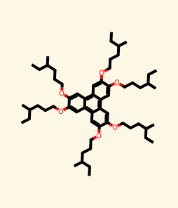 CCC(C)CCCOc1cc2c3cc(OCCCC(C)CC)c(OCCCC(C)CC)cc3c3cc(OCCCC(C)CC)c(OCCCC(C)CC)cc3c2cc1OCCCC(C)CC